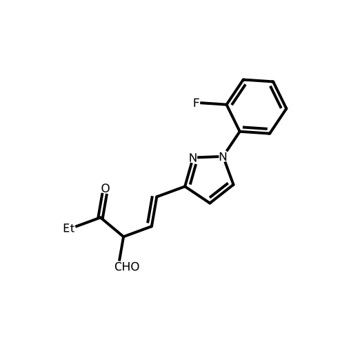 CCC(=O)C(C=O)/C=C/c1ccn(-c2ccccc2F)n1